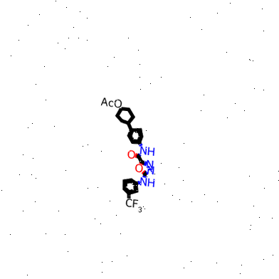 CC(=O)OC1CCC(c2ccc(NC(=O)c3nnc(Nc4cccc(C(F)(F)F)c4)o3)cc2)CC1